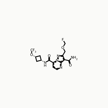 NC(=O)c1c(COCF)nn2c(C(=O)N[C@H]3C[C@@H](OC(F)(F)F)C3)ccnc12